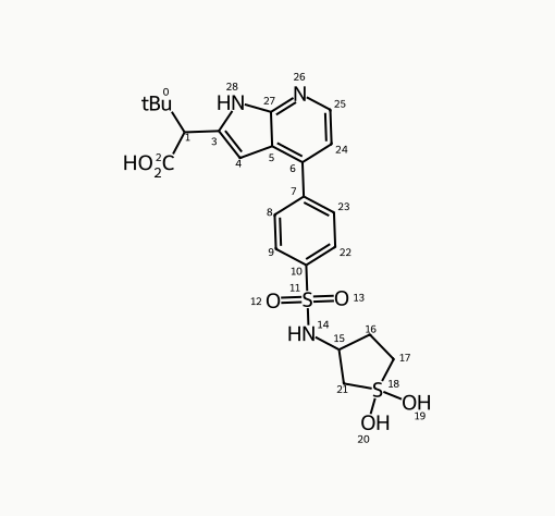 CC(C)(C)C(C(=O)O)c1cc2c(-c3ccc(S(=O)(=O)NC4CCS(O)(O)C4)cc3)ccnc2[nH]1